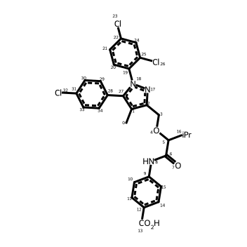 Cc1c(COC(C(=O)Nc2ccc(C(=O)O)cc2)C(C)C)nn(-c2ccc(Cl)cc2Cl)c1-c1ccc(Cl)cc1